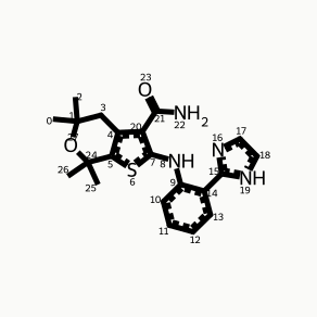 CC1(C)Cc2c(sc(Nc3ccccc3-c3ncc[nH]3)c2C(N)=O)C(C)(C)O1